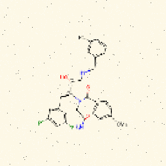 CCc1cccc(CNC[C@@H](O)[C@H](Cc2cc(F)cc(F)c2)N(CC(N)=O)C(=O)c2ccc(OC)cc2)c1